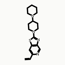 C=Cc1cc2sc(N3CCC(N4CCCCC4)CC3)nc2cn1